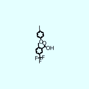 O=C(O)c1cc(C(F)(F)F)ccc1COc1ccc(I)cc1